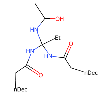 CCCCCCCCCCCC(=O)NC(CC)(NC(=O)CCCCCCCCCCC)NC(C)O